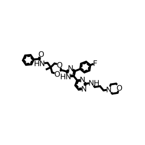 CC1(CNC(=O)c2ccccc2)COC(c2nc(-c3ccc(F)cc3)c(-c3ccnc(NCCCN4CCOCC4)n3)[nH]2)OC1